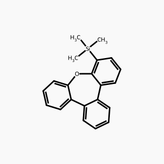 C[Si](C)(C)c1cccc2c1Oc1ccccc1-c1ccccc1-2